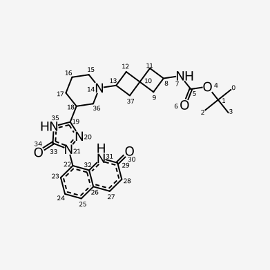 CC(C)(C)OC(=O)NC1CC2(C1)CC(N1CCCC(c3nn(-c4cccc5ccc(=O)[nH]c45)c(=O)[nH]3)C1)C2